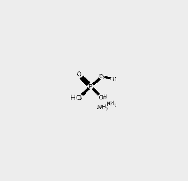 N.N.[2H]OP(=O)(O)O